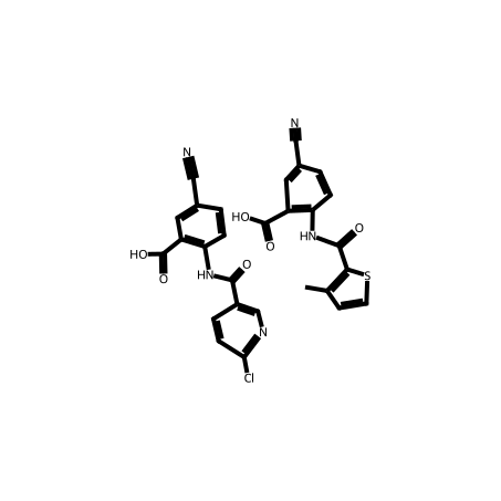 Cc1ccsc1C(=O)Nc1ccc(C#N)cc1C(=O)O.N#Cc1ccc(NC(=O)c2ccc(Cl)nc2)c(C(=O)O)c1